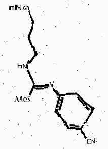 CCCCCCCCCCCCN/C(=N/c1ccc(C#N)cc1)SC